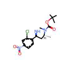 C[C@H](CC(=N)c1ccc([N+](=O)[O-])cc1Cl)N(C)C(=O)OC(C)(C)C